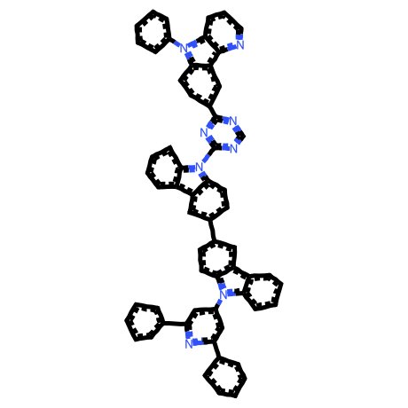 c1ccc(-c2cc(-n3c4ccccc4c4cc(-c5ccc6c(c5)c5ccccc5n6-c5ncnc(-c6ccc7c(c6)c6ncccc6n7-c6ccccc6)n5)ccc43)cc(-c3ccccc3)n2)cc1